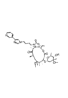 CC[C@H]1OC(=O)[C@H](C)[C@@H](O[C@H]2C[C@@](C)(OC)[C@@H](O)[C@H](C)O2)[C@H](C)[C@@H](C)[C@](C)(OC)C[C@@H](C)C(=O)[C@H](C)C2(C)N(CCCCn3cnc(-c4cccnc4)c3)C(=O)O[C@]12C